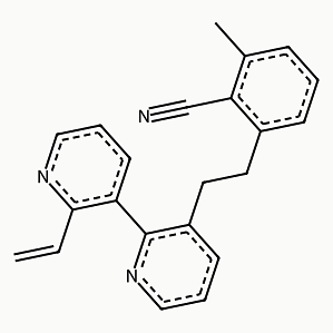 C=Cc1ncccc1-c1ncccc1CCc1cccc(C)c1C#N